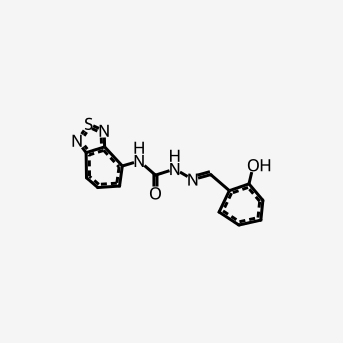 O=C(N/N=C/c1ccccc1O)Nc1cccc2nsnc12